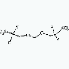 O=[N+]([O-])C(F)(F)COCOCC(F)(F)[N+](=O)[O-]